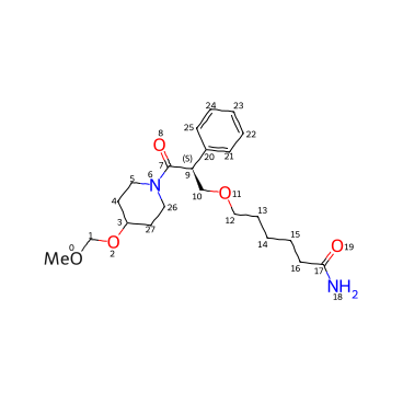 COCOC1CCN(C(=O)[C@H](COCCCCCC(N)=O)c2ccccc2)CC1